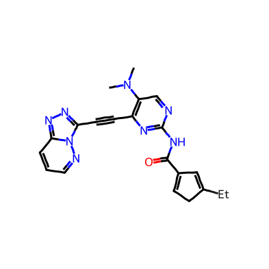 CCC1=CC(C(=O)Nc2ncc(N(C)C)c(C#Cc3nnc4cccnn34)n2)=CC1